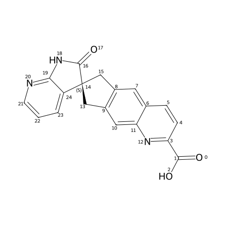 O=C(O)c1ccc2cc3c(cc2n1)C[C@]1(C3)C(=O)Nc2ncccc21